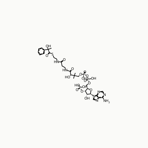 CC(O)(C(=O)SCCNC(=O)CCNC(=O)[C@H](O)C(C)(C)COP(=O)(O)OP(=O)(O)OC[C@H]1O[C@@H](n2cnc3c(N)ncnc32)[C@H](O)[C@@H]1OP(=O)(O)O)c1ccccc1